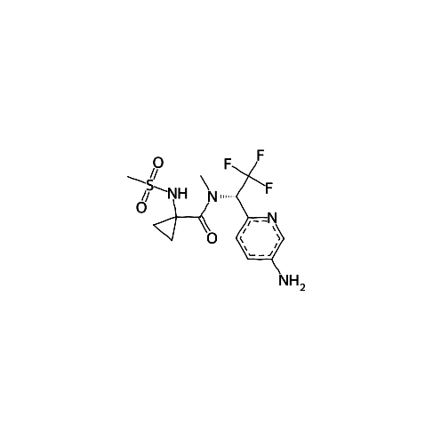 CN(C(=O)C1(NS(C)(=O)=O)CC1)[C@@H](c1ccc(N)cn1)C(F)(F)F